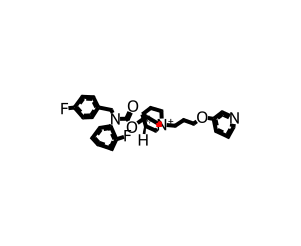 O=C(O[C@H]1C[N+]2(CCCOc3cccnc3)CCC1CC2)N(Cc1ccc(F)cc1)c1ccccc1F